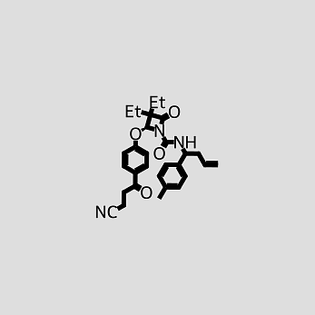 C=CCC(NC(=O)N1C(=O)C(CC)(CC)[C@@H]1Oc1ccc(C(=O)CCC#N)cc1)c1ccc(C)cc1